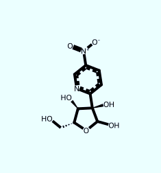 O=[N+]([O-])c1ccc([C@]2(O)C(O)O[C@H](CO)[C@H]2O)nc1